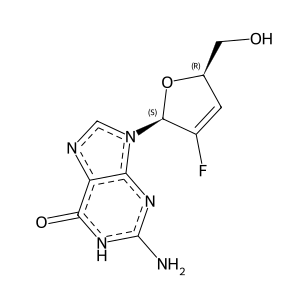 Nc1nc2c(ncn2[C@H]2O[C@@H](CO)C=C2F)c(=O)[nH]1